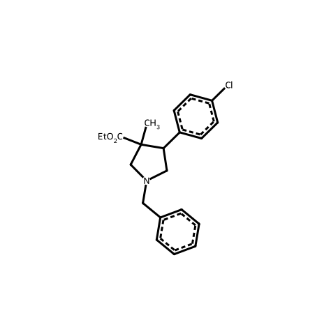 CCOC(=O)C1(C)CN(Cc2ccccc2)CC1c1ccc(Cl)cc1